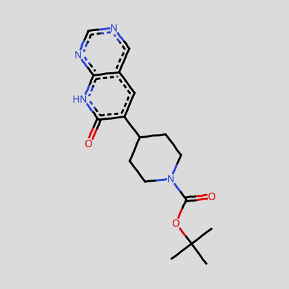 CC(C)(C)OC(=O)N1CCC(c2cc3cncnc3[nH]c2=O)CC1